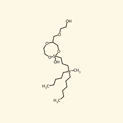 CCCCCC[N+](C)(CCCCC)CCC[Si]1(O)OCCOC(COCCO)CO1